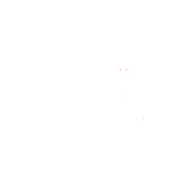 O=C1OCC2C=CC=CC12